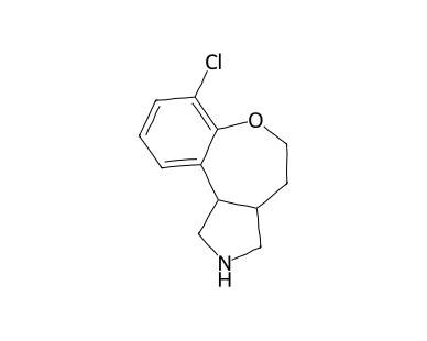 Clc1cccc2c1OCCC1CNCC21